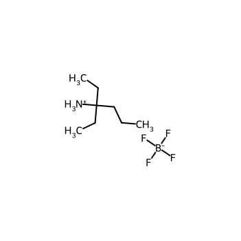 CCCC([NH3+])(CC)CC.F[B-](F)(F)F